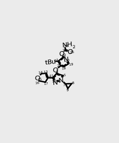 CC(C)(C)c1c(Oc2cn(C3CC3)nc2C2=CCOCC2)ccnc1OC(N)=O